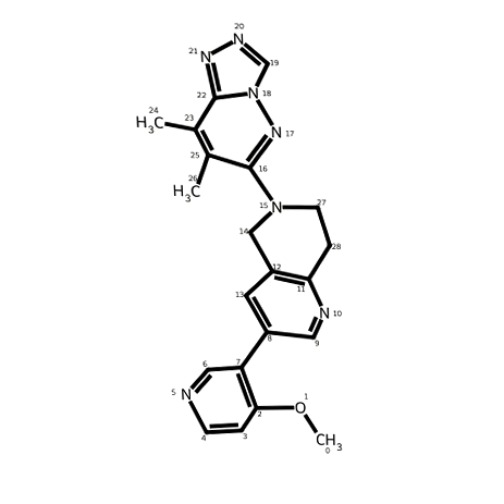 COc1ccncc1-c1cnc2c(c1)CN(c1nn3cnnc3c(C)c1C)CC2